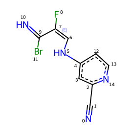 N#Cc1cc(N/C=C(/F)C(=N)Br)ccn1